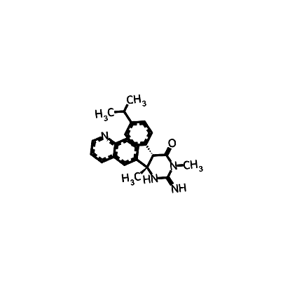 CC(C)c1ccc([C@@H]2C(=O)N(C)C(=N)N[C@]2(C)c2ccc3ncccc3c2)cc1